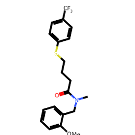 COc1ccccc1CN(C)C(=O)CCCSc1ccc(C(F)(F)F)cc1